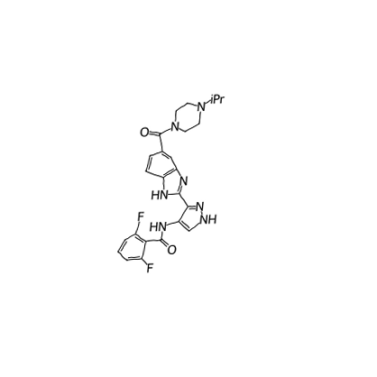 CC(C)N1CCN(C(=O)c2ccc3[nH]c(-c4n[nH]cc4NC(=O)c4c(F)cccc4F)nc3c2)CC1